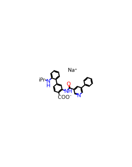 CC(C)Nc1ccccc1-c1ccc(C(=O)[O-])c(NC(=O)c2cncc(-c3ccccc3)c2)c1.[Na+]